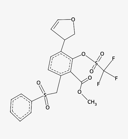 COC(=O)c1c(CS(=O)(=O)c2ccccc2)ccc(C2C=COC2)c1OS(=O)(=O)C(F)(F)F